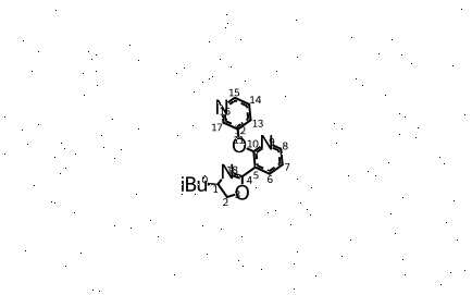 CCC(C)[C@@H]1COC(c2cccnc2Oc2cccnc2)=N1